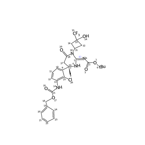 CC(C)(C)OC(=O)/N=C1\N[C@](C)(c2cccc(NC(=O)OCc3ccccc3)c2Cl)CC(=O)N1C1CC(O)(C(F)(F)F)C1